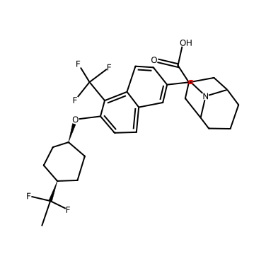 CC(F)(F)[C@H]1CC[C@@H](Oc2ccc3cc(CN4C5CCCC4CC(C(=O)O)C5)ccc3c2C(F)(F)F)CC1